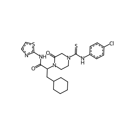 O=C(Nc1nccs1)C(CC1CCCCC1)N1CCN(C(=S)Nc2ccc(Cl)cc2)CC1=O